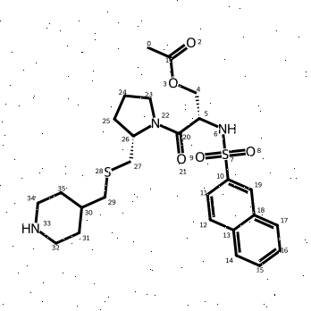 CC(=O)OC[C@H](NS(=O)(=O)c1ccc2ccccc2c1)C(=O)N1CCC[C@H]1CSCC1CCNCC1